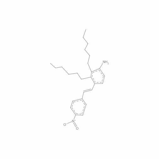 CCCCCCc1c(N)ccc(C=Cc2ccc([N+](=O)[O-])cc2)c1CCCCCC